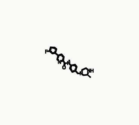 C[C@H]1CN(Cc2ccc(N(C)C(=O)c3ccc(-c4cccc(F)c4)cn3)cc2)CCN1